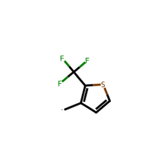 [CH2]c1ccsc1C(F)(F)F